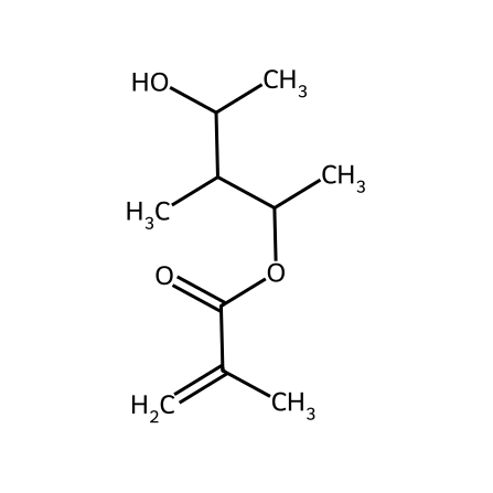 C=C(C)C(=O)OC(C)C(C)C(C)O